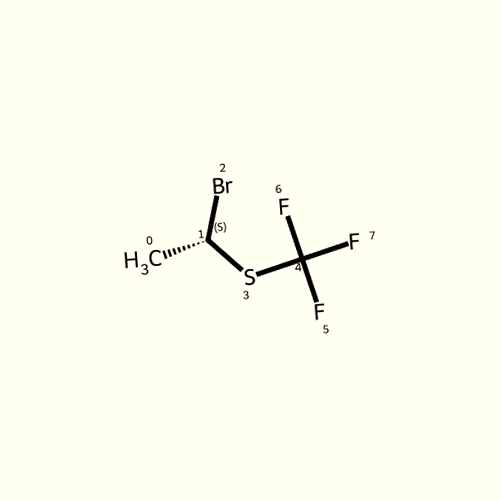 C[C@H](Br)SC(F)(F)F